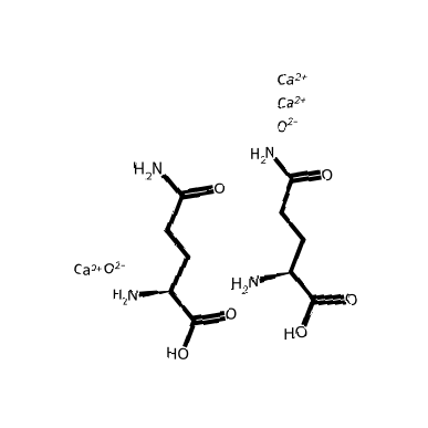 NC(=O)CC[C@H](N)C(=O)O.NC(=O)CC[C@H](N)C(=O)O.[Ca+2].[Ca+2].[Ca+2].[O-2].[O-2]